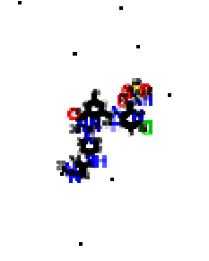 Cc1cc([C@@H](C)Nc2ccc(Cl)nc2C(=O)NS(C)(=O)=O)c2nc(N3CCC(Nc4cnn(C)c4)CC3)n(C)c(=O)c2c1